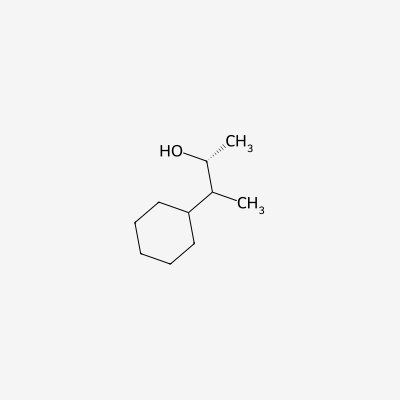 CC(C1CCCCC1)[C@@H](C)O